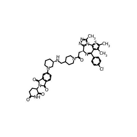 Cc1sc2c(c1C)C(c1ccc(Cl)cc1)=N[C@@H](CC(=O)N1CCC(CN[C@@H]3CCCN(c4ccc5c(c4)C(=O)N(C4CCC(=O)NC4=O)C5=O)C3)CC1)c1nnc(C)n1-2